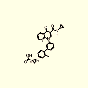 Cc1cc([C@@H]2C[C@H]2C(=O)O)ccc1-c1cccc(-n2cc(C(=O)NC3CC3)c(=O)c3cccnc32)c1